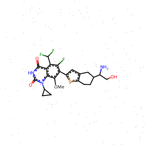 COc1c(-c2cc3c(s2)CCC(C(N)CO)C3)c(F)c(C(F)F)c2c(=O)[nH]c(=O)n(C3CC3)c12